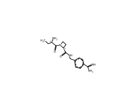 CC[C@@H](N)C(=O)N1CC[C@H]1C(=O)NCc1ccc(C(=N)N)cc1